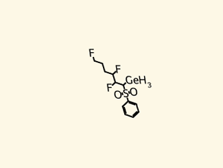 O=S(=O)(c1ccccc1)[CH]([GeH3])C(F)C(F)CCCF